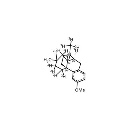 [2H]C([2H])([2H])N1CC[C@]23c4cc(OC)ccc4C[C@@]1([2H])[C@@]2([2H])C([2H])([2H])C([2H])(C)C([2H])([2H])C3([2H])[2H]